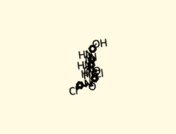 O=C(NCc1cccc(Cl)c1)c1ccc(Cl)c(NC(=O)c2cc3cnc(N[C@H]4CC[C@H](O)CC4)nc3[nH]c2=O)c1